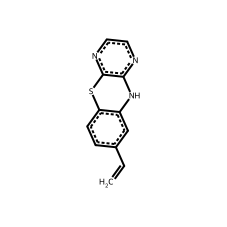 C=Cc1ccc2c(c1)Nc1nccnc1S2